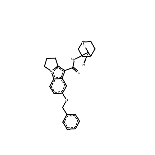 O=C(N[C@@H]1CN2CCC1CC2)c1c2n(c3ccc(OCc4ccccc4)cc13)CCC2